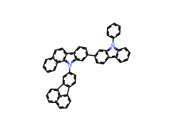 c1ccc(-n2c3ccccc3c3ccc(-c4ccc5c6ccc7ccccc7c6n(-c6ccc7c(c6)-c6cccc8cccc-7c68)c5c4)cc32)cc1